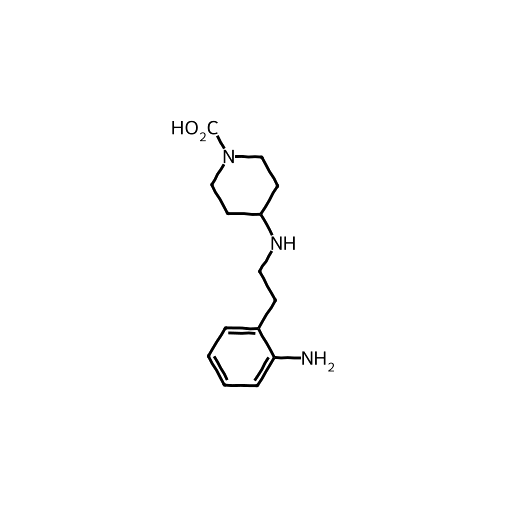 Nc1ccccc1CCNC1CCN(C(=O)O)CC1